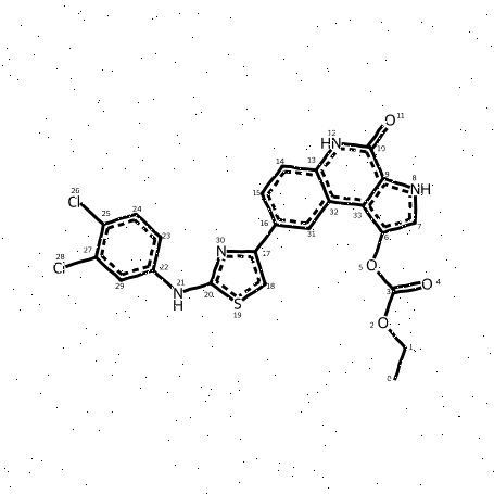 CCOC(=O)Oc1c[nH]c2c(=O)[nH]c3ccc(-c4csc(Nc5ccc(Cl)c(Cl)c5)n4)cc3c12